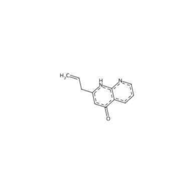 C=CCc1cc(=O)c2cccnc2[nH]1